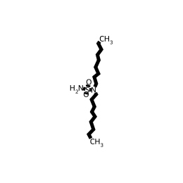 CCCCCCCCCN(CCCCCCCCC)S(N)(=O)=O